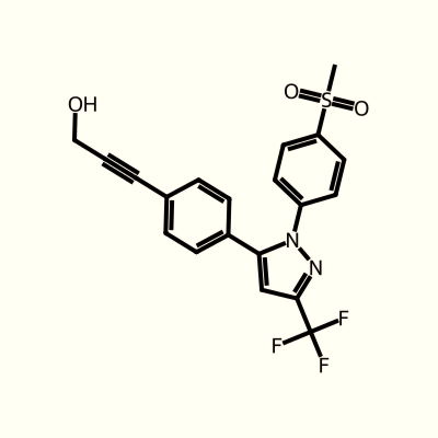 CS(=O)(=O)c1ccc(-n2nc(C(F)(F)F)cc2-c2ccc(C#CCO)cc2)cc1